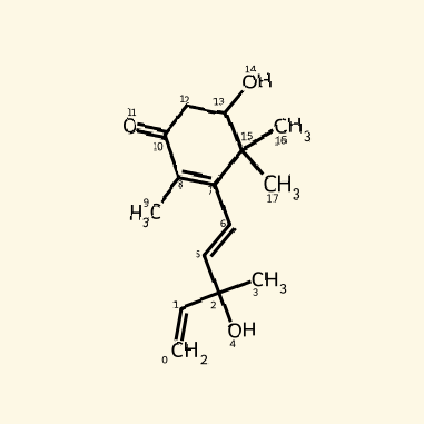 C=CC(C)(O)/C=C/C1=C(C)C(=O)CC(O)C1(C)C